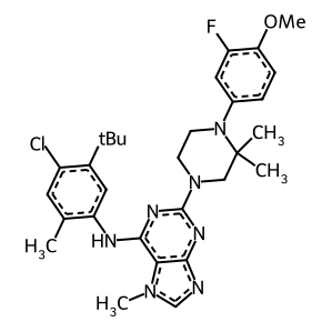 COc1ccc(N2CCN(c3nc(Nc4cc(C(C)(C)C)c(Cl)cc4C)c4c(ncn4C)n3)CC2(C)C)cc1F